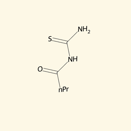 CCCC(=O)NC(N)=S